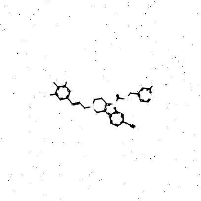 Cl.N#Cc1ccc2c3c(n(C(=O)NCc4ccnc(Br)c4)c2c1)CCN(C/C=C/c1cc(F)c(Cl)c(F)c1)C3